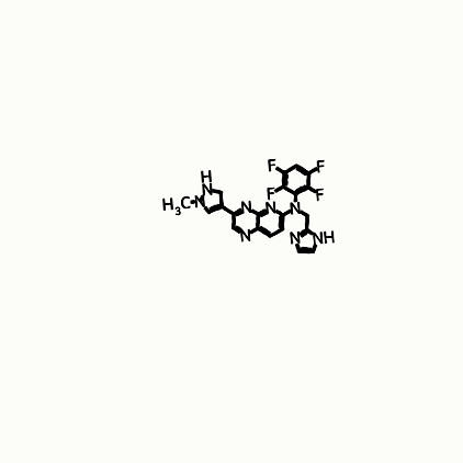 CN1C=C(c2cnc3ccc(N(Cc4ncc[nH]4)c4c(F)c(F)cc(F)c4F)nc3n2)CN1